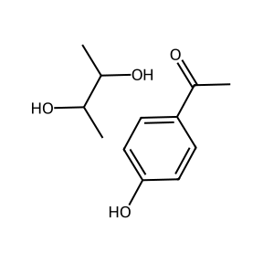 CC(=O)c1ccc(O)cc1.CC(O)C(C)O